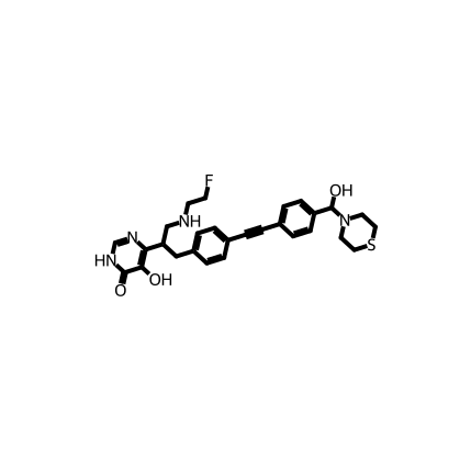 O=c1[nH]cnc(C(CNCCF)Cc2ccc(C#Cc3ccc(C(O)N4CCSCC4)cc3)cc2)c1O